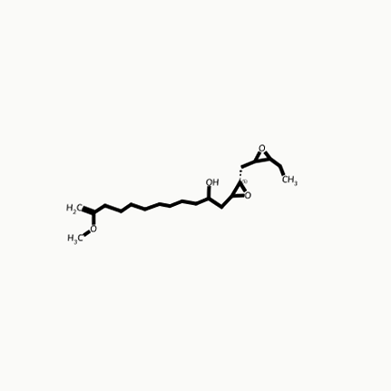 C=C(CCCCCCCCC(O)CC1O[C@H]1CC1OC1CC)OC